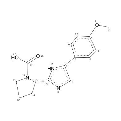 COc1ccc(-c2cnc([C@@H]3CCCN3C(=O)O)[nH]2)cc1